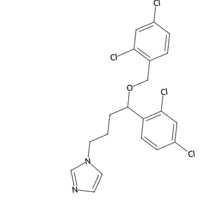 Clc1ccc(COC(CCCn2ccnc2)c2ccc(Cl)cc2Cl)c(Cl)c1